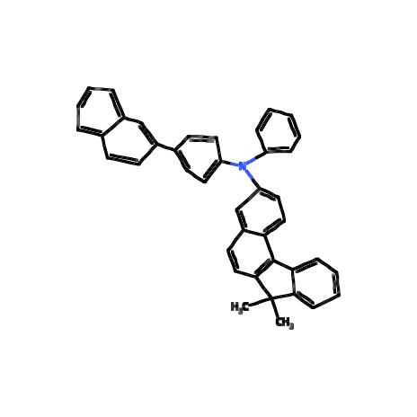 CC1(C)c2ccccc2-c2c1ccc1cc(N(c3ccccc3)c3ccc(-c4ccc5ccccc5c4)cc3)ccc21